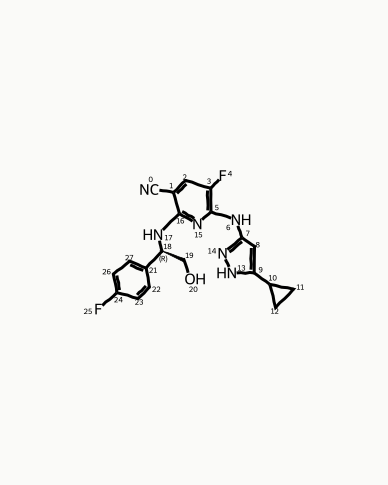 N#Cc1cc(F)c(Nc2cc(C3CC3)[nH]n2)nc1N[C@@H](CO)c1ccc(F)cc1